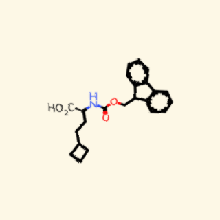 O=C(N[C@@H](CCC1CCC1)C(=O)O)OCC1c2ccccc2-c2ccccc21